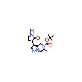 C[C@H]1Cn2ncc(C3CCNC3=O)c2CN1C(=O)OC(C)(C)C